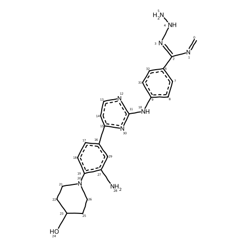 C=N/C(=N\NN)c1ccc(Nc2nccc(-c3ccc(N4CCC(O)CC4)c(N)c3)n2)cc1